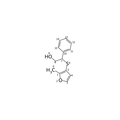 Cc1occc1SC(CO)c1ccccc1